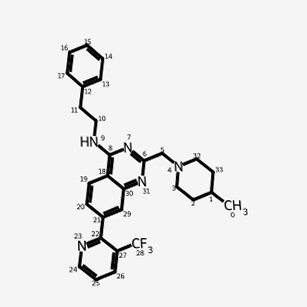 CC1CCN(Cc2nc(NCCc3ccccc3)c3ccc(-c4ncccc4C(F)(F)F)cc3n2)CC1